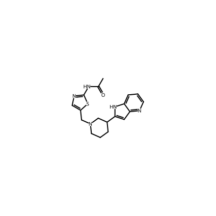 CC(=O)Nc1ncc(CN2CCCC(c3cc4ncccc4[nH]3)C2)s1